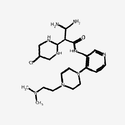 CN(C)CCN1CCN(c2ccncc2NC(=O)C(C(N)N)C2NCC(Cl)CN2)CC1